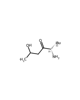 [CH2]C(O)CC(=O)[C@@H](N)[C@@H](C)CC